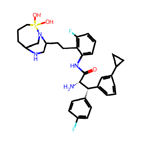 N[C@H](C(=O)Nc1cccc(F)c1CCC1CNC2CCCS(O)(O)N1C2)[C@@H](c1ccc(F)cc1)c1cccc(C2CC2)c1